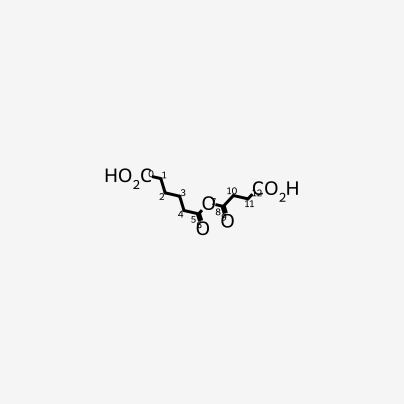 O=C(O)CCCCC(=O)OC(=O)CCC(=O)O